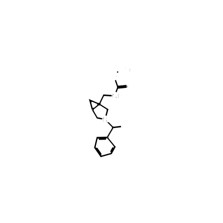 CC(c1ccccc1)N1CC2CC2(CNC(=O)OC(C)(C)C)C1